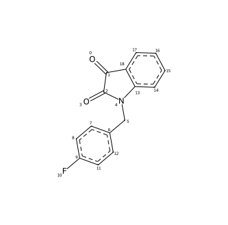 O=C1C(=O)N(Cc2ccc(F)cc2)c2ccccc21